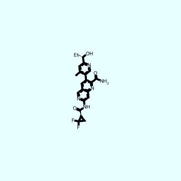 CC[C@H](O)c1cc(C)c(-c2cc3cnc(NC(=O)[C@H]4CC4(F)F)cc3nc2C(N)=O)cn1